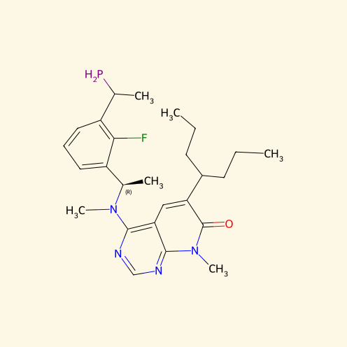 CCCC(CCC)c1cc2c(N(C)[C@H](C)c3cccc(C(C)P)c3F)ncnc2n(C)c1=O